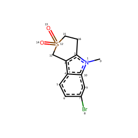 Cn1c2c(c3ccc(Br)cc31)CS(=O)(=O)CC2